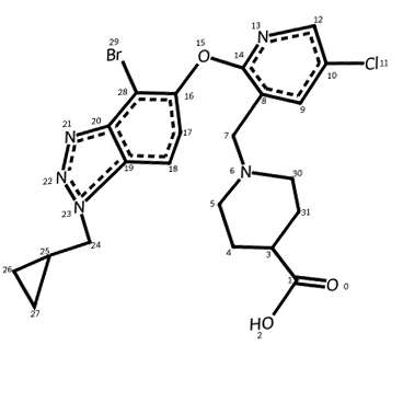 O=C(O)C1CCN(Cc2cc(Cl)cnc2Oc2ccc3c(nnn3CC3CC3)c2Br)CC1